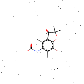 Cc1c(Br)c2c(c(C)c1NC(=O)O)C(=O)C(C)(C)O2